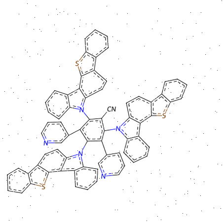 N#Cc1c(-n2c3ccccc3c3c4sc5ccccc5c4ccc32)c(-c2cccnc2)c(-n2c3ccccc3c3c4sc5ccccc5c4ccc32)c(-c2cccnc2)c1-n1c2ccccc2c2c3sc4ccccc4c3ccc21